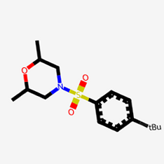 CC1CN(S(=O)(=O)c2ccc(C(C)(C)C)cc2)CC(C)O1